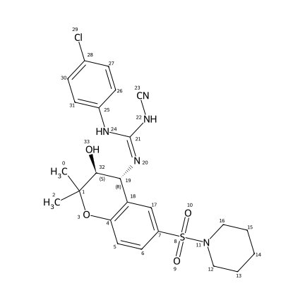 CC1(C)Oc2ccc(S(=O)(=O)N3CCCCC3)cc2[C@@H](N=C(NC#N)Nc2ccc(Cl)cc2)[C@@H]1O